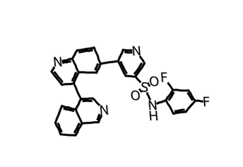 O=S(=O)(Nc1ccc(F)cc1F)c1cncc(-c2ccc3nccc(-c4cncc5ccccc45)c3c2)c1